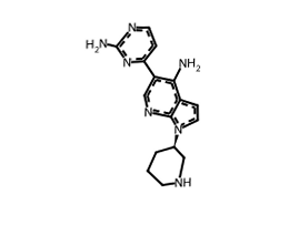 Nc1nccc(-c2cnc3c(ccn3[C@@H]3CCCNC3)c2N)n1